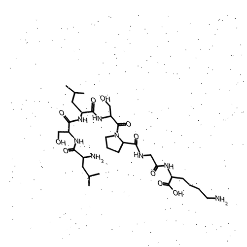 CC(C)CC(N)C(=O)NC(CO)C(=O)NC(CC(C)C)C(=O)NC(CO)C(=O)N1CCCC1C(=O)NCC(=O)NC(CCCCN)C(=O)O